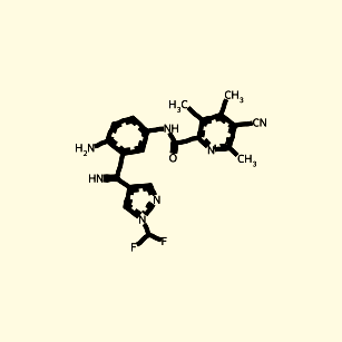 Cc1nc(C(=O)Nc2ccc(N)c(C(=N)c3cnn(C(F)F)c3)c2)c(C)c(C)c1C#N